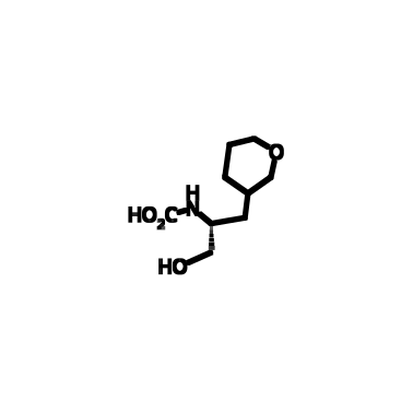 O=C(O)N[C@@H](CO)CC1CCCOC1